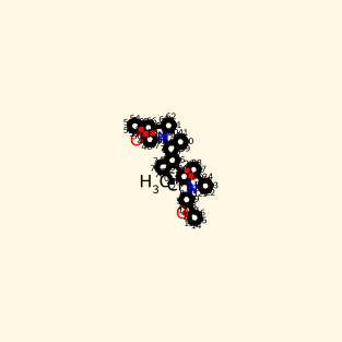 C[Si]1(C)c2cc(N(c3ccc4oc5ccccc5c4c3)c3ccccc3-c3ccccc3)ccc2-c2cc3c4ccccc4c(N(c4ccc5oc6ccccc6c5c4)c4ccccc4-c4ccccc4)cc3c3cccc1c23